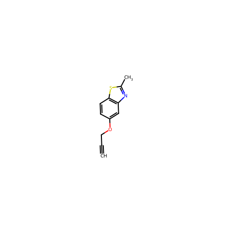 C#CCOc1ccc2sc(C)nc2c1